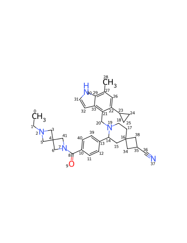 CCN1CC2(C1)CN(C(=O)c1ccc(C3CC4(CCN3Cc3c(C5CC5)cc(C)c5[nH]ccc35)CC(C#N)C4)cc1)C2